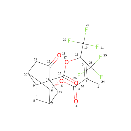 C=C(C)C(=O)O[C@@H]1C2CC3C1CC(=O)C3(C(=O)OC(C(F)(F)F)C(F)(F)F)C2